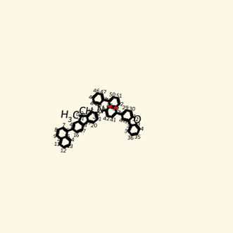 CC1(C)c2cc(-c3cccc4ccccc34)ccc2-c2ccc(N(c3ccc(-c4ccc5oc6ccccc6c5c4)cc3)c3ccccc3-c3ccccc3)cc21